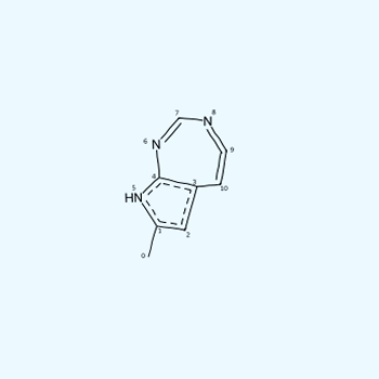 Cc1cc2c([nH]1)N=CN=C=C2